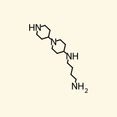 NCCCCNC1CCN(C2CCNCC2)CC1